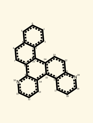 c1ccc2c(c1)ccc1c3ncccc3c3c4cccnc4ccc3c21